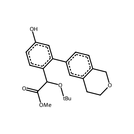 COC(=O)C(OC(C)(C)C)c1ccc(O)cc1-c1ccc2c(c1)CCOC2